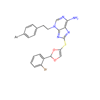 CC(=O)c1ccc(CCn2cnc(N)c3nc(SC4=COC(c5ccccc5Br)O4)nc2-3)cc1